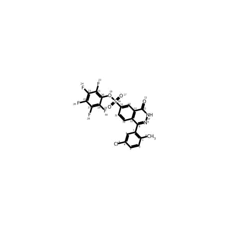 Cc1ccc(Cl)cc1-c1n[nH]c(=O)c2cc(S(=O)(=O)Oc3c(F)c(F)c(F)c(F)c3F)ccc12